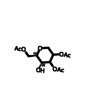 CC(=O)OC[C@H]1OCC(OC(C)=O)C(OC(C)=O)[C@@H]1O